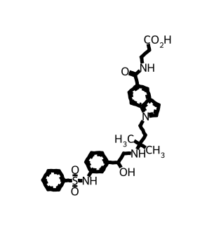 CC(C)(CCn1ccc2cc(C(=O)NCCC(=O)O)ccc21)NCC(O)c1cccc(NS(=O)(=O)c2ccccc2)c1